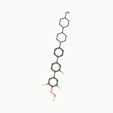 CCCC1CCC(C2CCC(c3ccc(-c4ccc(-c5cc(F)c(OCF)c(F)c5)c(F)c4)cc3)CC2)CC1